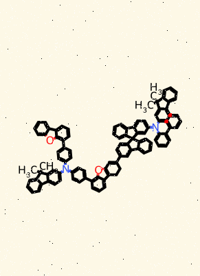 CC1(C)c2ccccc2-c2ccc(N(c3ccc(-c4cccc5c6c(oc45)C=C(c4ccc5c(c4)-c4ccccc4C54c5ccccc5-c5ccc(N(c7ccc8c(c7)C(C)(C)c7ccccc7-8)c7ccccc7-c7ccccc7)cc54)CC6)cc3)c3ccc(-c4cccc5c4oc4ccccc45)cc3)cc21